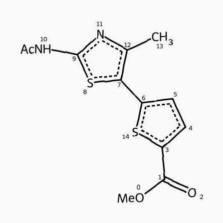 COC(=O)c1ccc(-c2sc(NC(C)=O)nc2C)s1